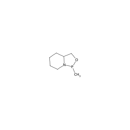 CP1OCC2CCCCN21